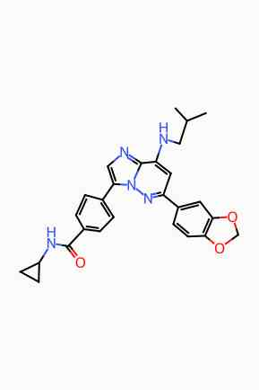 CC(C)CNc1cc(-c2ccc3c(c2)OCO3)nn2c(-c3ccc(C(=O)NC4CC4)cc3)cnc12